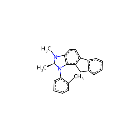 Cc1ccccc1N1c2c(ccc3c2Cc2ccccc2-3)N(C)[C@@H]1C